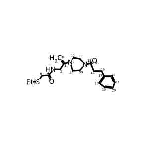 C=C(CNC(=O)CSCC)N1CCN(C(=O)CCc2ccccc2)CC1